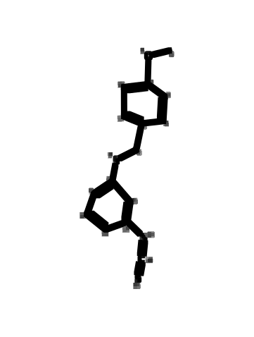 COc1ccc(CSc2cccc(N=C=S)c2)cc1